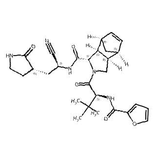 CC(C)(C)[C@H](NC(=O)c1ccco1)C(=O)N1C[C@H]2[C@@H]([C@H]1C(=O)N[C@H](C#N)C[C@@H]1CCNC1=O)[C@H]1C=C[C@@H]2C1